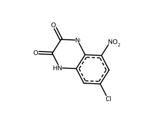 O=C1[N]c2c(cc(Cl)cc2[N+](=O)[O-])NC1=O